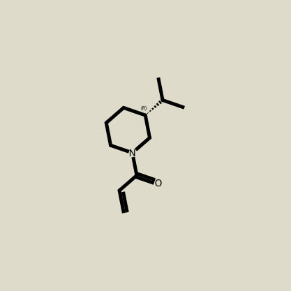 C=CC(=O)N1CCC[C@H](C(C)C)C1